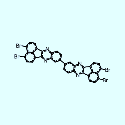 Brc1ccc2c3c(ccc(Br)c13)-c1nc3cc(-c4ccc5nc6c(nc5c4)-c4ccc(Br)c5c(Br)ccc-6c45)ccc3nc1-2